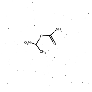 CC(OC(N)=O)[N+](=O)[O-]